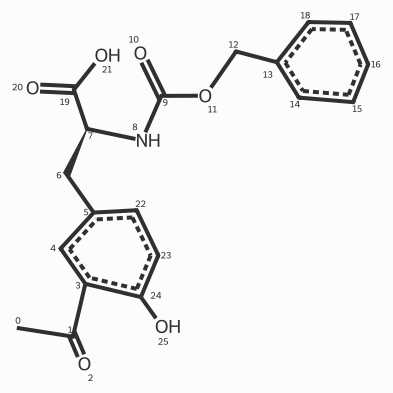 CC(=O)c1cc(C[C@H](NC(=O)OCc2ccccc2)C(=O)O)ccc1O